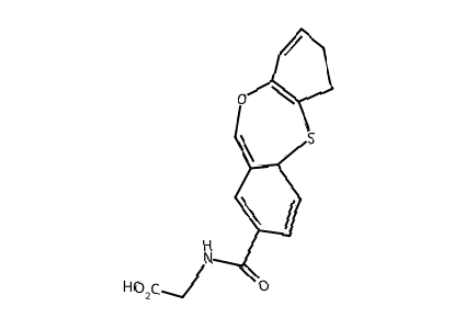 O=C(O)CNC(=O)C1=CC2=COC3=C(CCC=C3)SC2C=C1